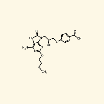 CCCCOc1nc(N)c2[nH]c(=O)n(CC(O)COc3ccc(C(=O)O)cc3)c2n1